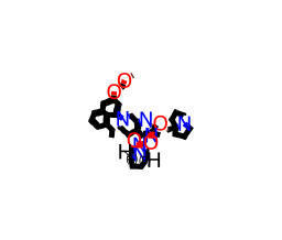 CCc1cccc2cc(OCOC)cc(N3CCc4c(nc(OCC56CCCN5CCC6)nc4N4C[C@H]5CC[C@@H](C4)N5C(=O)OC(C)(C)C)C3)c12